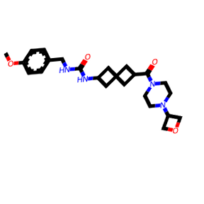 COc1ccc(CNC(=O)NC2CC3(C2)CC(C(=O)N2CCN(C4COC4)CC2)C3)cc1